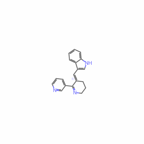 C(=C1/CCCN=C1c1cccnc1)/c1c[nH]c2ccccc12